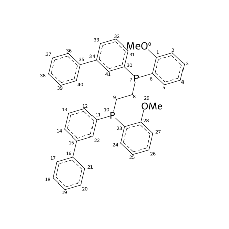 COc1ccccc1P(CCP(c1cccc(-c2ccccc2)c1)c1ccccc1OC)c1cccc(-c2ccccc2)c1